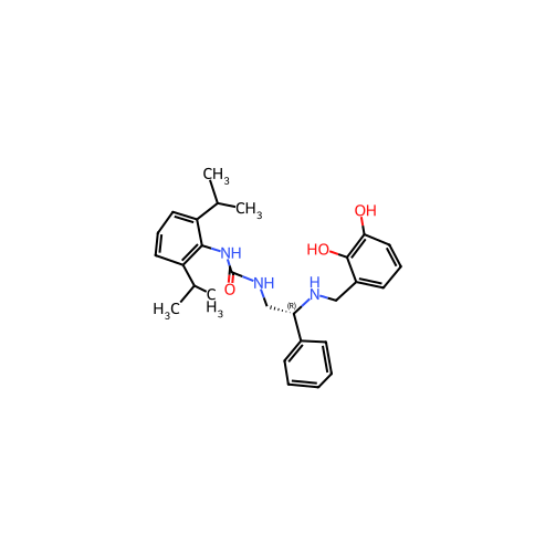 CC(C)c1cccc(C(C)C)c1NC(=O)NC[C@H](NCc1cccc(O)c1O)c1ccccc1